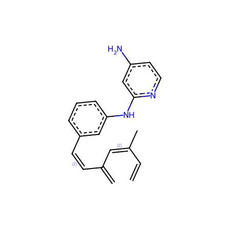 C=C/C(C)=C\C(=C)/C=C\c1cccc(Nc2cc(N)ccn2)c1